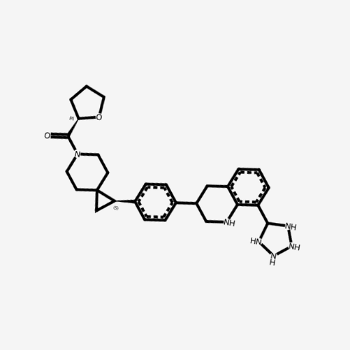 O=C([C@H]1CCCO1)N1CCC2(CC1)C[C@@H]2c1ccc(C2CNc3c(cccc3C3NNNN3)C2)cc1